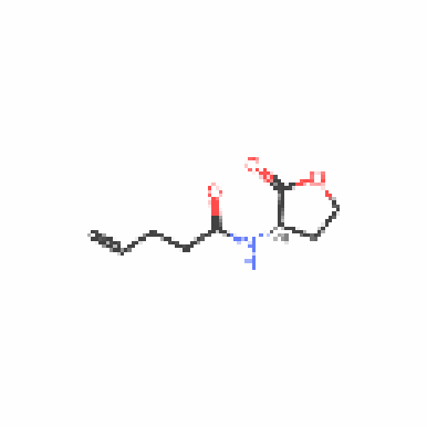 C=CCCC(=O)N[C@H]1CCOC1=O